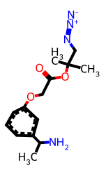 CC(N)c1cccc(OCC(=O)OC(C)(C)CN=[N+]=[N-])c1